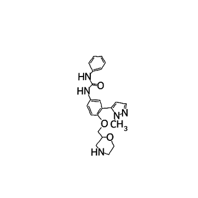 Cn1nccc1-c1cc(NC(=O)Nc2ccccc2)ccc1OCC1CNCCO1